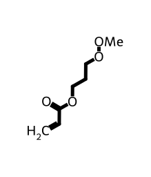 C=CC(=O)OCCCOOC